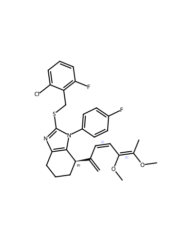 C=C(/C=C\C(OC)=C(/C)OC)[C@H]1CCCc2nc(SCc3c(F)cccc3Cl)n(-c3ccc(F)cc3)c21